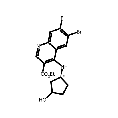 CCOC(=O)c1cnc2cc(F)c(Br)cc2c1N[C@H]1CCC(O)C1